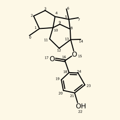 CC1CCC2C(C)(C)C3CC12CCC3(C)OC(=O)c1ccc(O)cc1